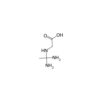 CC(N)(N)NCC(=O)O